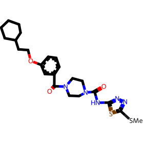 CSc1nnc(NC(=O)N2CCN(C(=O)c3cccc(OCCC4CCCCC4)c3)CC2)s1